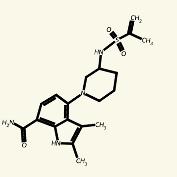 C=C(C)S(=O)(=O)NC1CCCN(c2ccc(C(N)=O)c3[nH]c(C)c(C)c23)C1